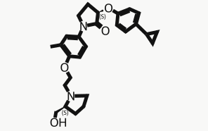 Cc1cc(N2CC[C@H](Oc3ccc(C4CC4)cc3)C2=O)ccc1OCCN1CCC[C@H]1CO